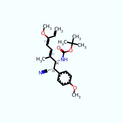 C=C/C(=C\C=C(/C)[C@H](NC(=O)OC(C)(C)C)[C@@H](C#N)c1ccc(OC)cc1)OC